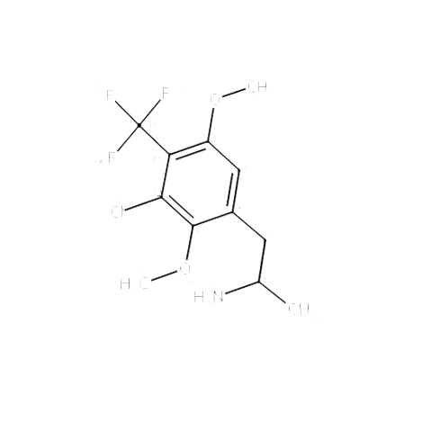 COc1cc(CC(C)N)c(OC)c(Cl)c1C(F)(F)F